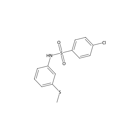 CSc1cccc(NS(=O)(=O)c2ccc(Cl)cc2)c1